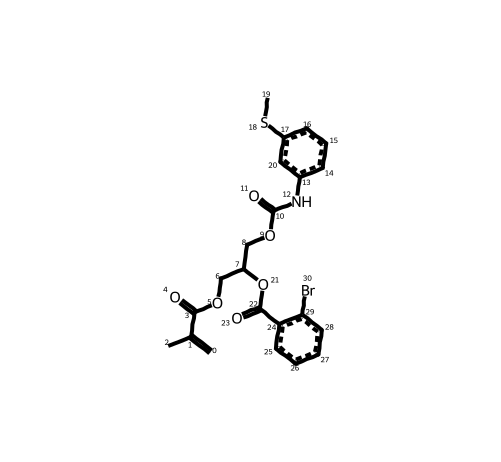 C=C(C)C(=O)OCC(COC(=O)Nc1cccc(SC)c1)OC(=O)c1ccccc1Br